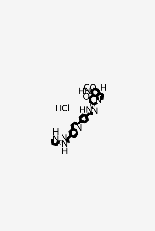 Cl.O=C(O)N[C@H]1CCc2ccn3c2C1C(=O)C[C@H](c1ncc(-c2ccc(-c4ccc5cc(-c6c[nH]c([C@@H]7CCCN7)n6)ccc5n4)cc2)[nH]1)C3